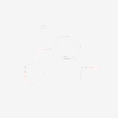 COc1ccc(C(C)O)cc1O[C@@H]1CCOC1